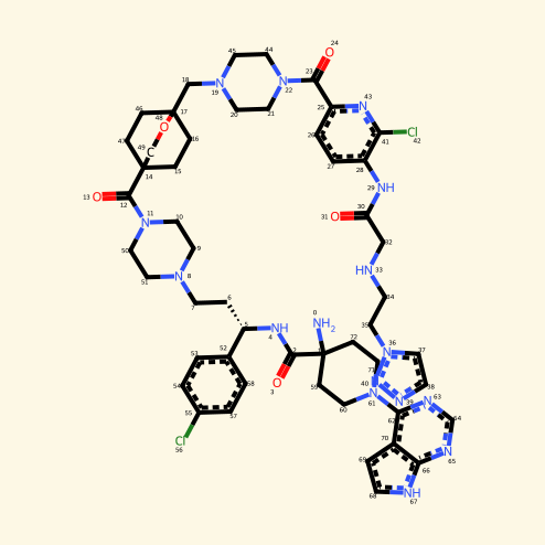 NC1(C(=O)N[C@@H](CCN2CCN(C(=O)C34CCC(CN5CCN(C(=O)c6ccc(NC(=O)CNCCn7ccnn7)c(Cl)n6)CC5)(CC3)OC4)CC2)c2ccc(Cl)cc2)CCN(c2ncnc3[nH]ccc23)CC1